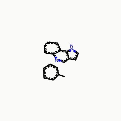 Cc1ccccc1.c1ccc2c(c1)ncc1cc[nH]c12